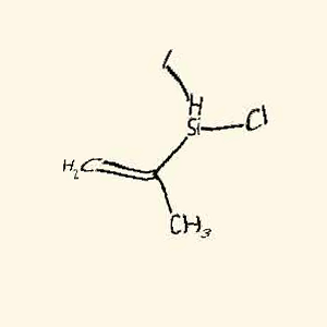 C=C(C)[SiH](Cl)I